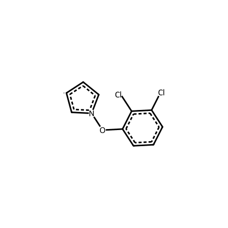 Clc1cccc(On2c[c]cc2)c1Cl